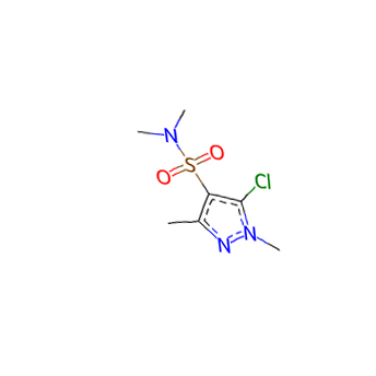 Cc1nn(C)c(Cl)c1S(=O)(=O)N(C)C